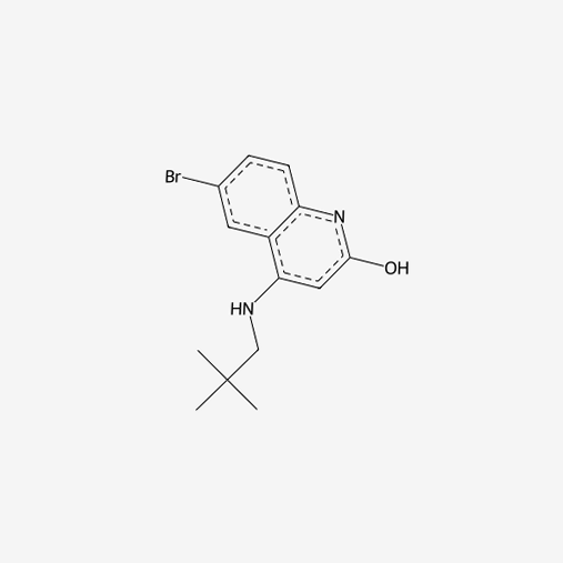 CC(C)(C)CNc1cc(O)nc2ccc(Br)cc12